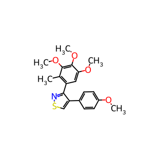 COc1ccc(-c2csnc2-c2cc(OC)c(OC)c(OC)c2C)cc1